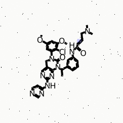 COc1cc(OC)c(Cl)c(N2Cc3cnc(Nc4ccncn4)nc3N(C(C)c3cccc(NC(=O)/C=C/CN(C)C)c3)C2=O)c1